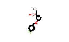 N#CCC(O)c1cccc(OCC2CCC(F)(F)CC2)c1